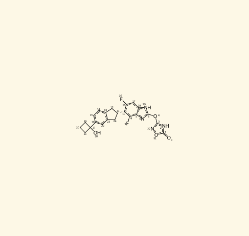 O=c1[nH]c(Oc2nc3c(F)c([C@H]4Cc5ccc(C6(O)CCC6)cc5C4)c(F)cc3[nH]2)no1